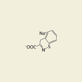 O=C([O-])C1=NSc2ccccc2C1.[Na+]